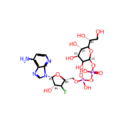 Nc1ccnc2c1ncn2[C@@H]1O[C@H](COP(=O)(O)OP(=O)(O)O[C@@H]2OC([C@H](O)CO)[C@@H](O)[C@H](O)C2O)C(F)[C@@H]1O